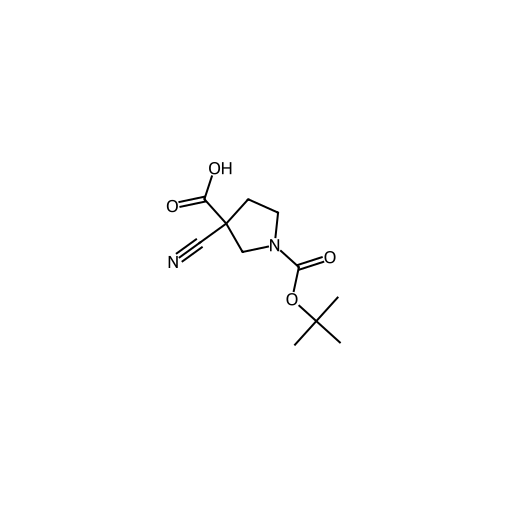 CC(C)(C)OC(=O)N1CCC(C#N)(C(=O)O)C1